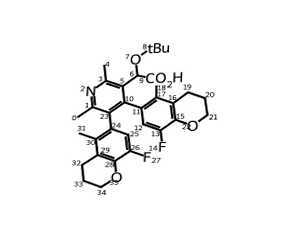 Cc1nc(C)c(C(OC(C)(C)C)C(=O)O)c(-c2cc(F)c3c(c2C)CCCO3)c1-c1cc(F)c2c(c1C)CCCO2